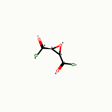 O=C(Cl)C1O[C@@H]1C(=O)Cl